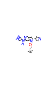 Cn1cc(Nc2cc3c(cn2)cc(-c2ccncc2)n3COCC[Si](C)(C)C)cn1